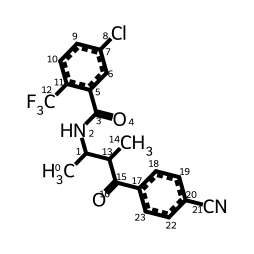 CC(NC(=O)c1cc(Cl)ccc1C(F)(F)F)C(C)C(=O)c1ccc(C#N)cc1